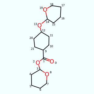 O=C(OC1CCCCO1)C1CCC(OC2CCCCO2)CC1